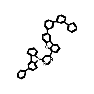 c1ccc(-c2cccc(-c3cccc(-c4ccc5oc6c(-c7cc(-n8c9ccccc9c9cc(-c%10ccccc%10)ccc98)ncn7)cccc6c5c4)c3)c2)cc1